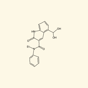 CCN(C(=O)c1cc2c(C(O)O)cccc2[nH]c1=O)c1ccccc1